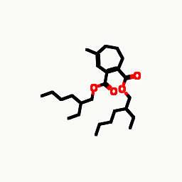 CCCCC(CC)COC(=O)C1=C(C(=O)OCC(CC)CCCC)CCCC(C)=C1